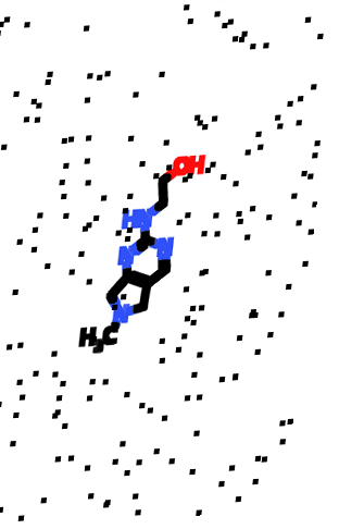 CN1Cc2cnc(NCCO)nc2C1